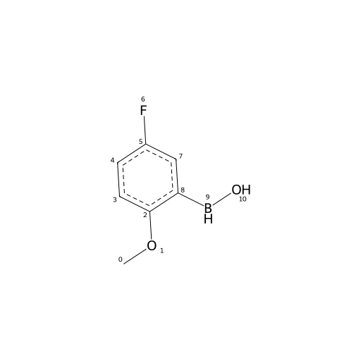 COc1ccc(F)cc1BO